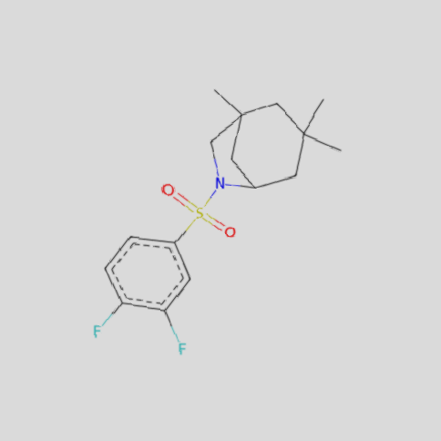 CC1(C)CC2CC(C)(CN2S(=O)(=O)c2ccc(F)c(F)c2)C1